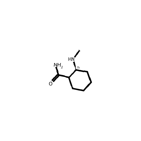 CN[C@H]1CCCCC1C(N)=O